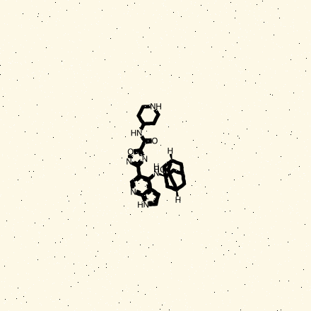 O=C(NC1CCNCC1)c1nc(-c2cnc3[nH]ccc3c2N[C@@]23CC4C[C@H](C2)C(O)[C@@H](C4)C3)no1